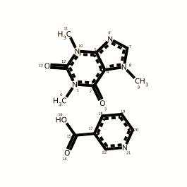 Cn1c(=O)c2c(ncn2C)n(C)c1=O.O=C(O)c1cccnc1